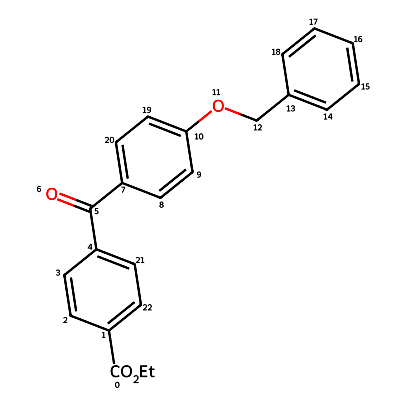 CCOC(=O)c1ccc(C(=O)c2ccc(OCc3ccccc3)cc2)cc1